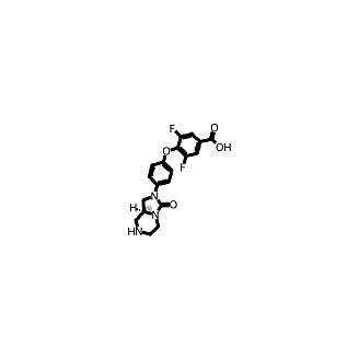 O=C(O)c1cc(F)c(Oc2ccc(N3C[C@@H]4CNCCN4C3=O)cc2)c(F)c1